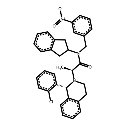 C[C@@H](C(=O)N(Cc1cccc([N+](=O)[O-])c1)C1Cc2ccccc2C1)N1CCc2ccccc2[C@@H]1c1ccccc1Cl